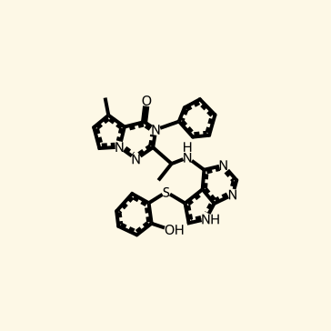 Cc1ccn2nc(C(C)Nc3ncnc4[nH]cc(Sc5ccccc5O)c34)n(-c3ccccc3)c(=O)c12